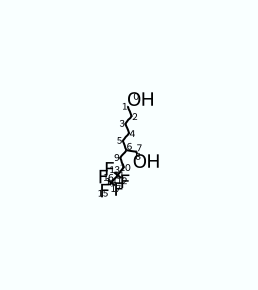 OCCCCCC(CO)CCC(F)(F)C(F)(F)F